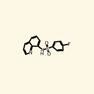 O=S(=O)(Nc1cccc2cccnc12)c1ccc(F)cc1